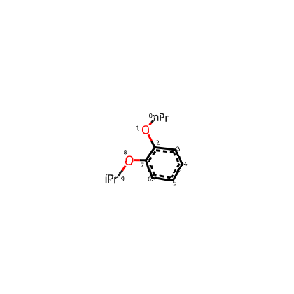 CCCOc1ccc[c]c1OC(C)C